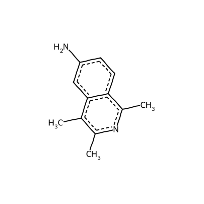 Cc1nc(C)c2ccc(N)cc2c1C